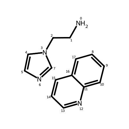 NCCn1ccnc1.c1ccc2ncccc2c1